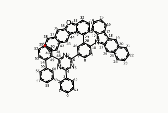 c1ccc(-c2nc(-c3ccc(-n4c5ccccc5c5cc6ccccc6cc54)c(-c4cccc5oc6cc7ccccc7cc6c45)c3)nc(-c3ccccc3-c3ccccc3)n2)cc1